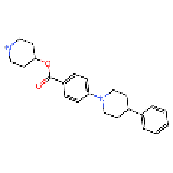 O=C(OC1CC[N]CC1)c1ccc(N2CCC(c3ccccc3)CC2)cc1